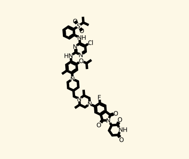 Cc1cc(Nc2ncc(Cl)c(Nc3ccccc3S(=O)(=O)C(C)C)n2)c(OC(C)C)cc1N1CCC(CN2C(C)CN(c3cc4c(cc3F)C(=O)N(C3CCC(=O)NC3=O)C4=O)CC2C)CC1